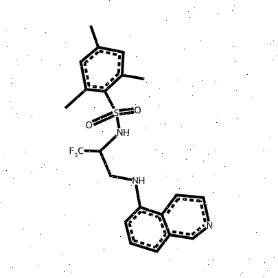 Cc1cc(C)c(S(=O)(=O)NC(CNc2cccc3cnccc23)C(F)(F)F)c(C)c1